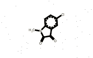 CN1C(=O)C(=O)c2cc(Cl)ccc21